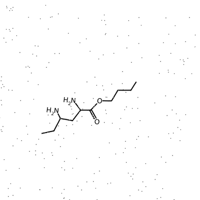 CCCCOC(=O)C(N)CC(N)CC